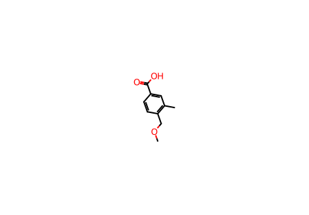 COCc1ccc(C(=O)O)cc1C